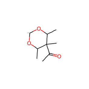 CC(=O)C1(C)C(C)O[CH]OC1C